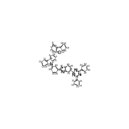 C1=c2cc(-c3ccc4c(c3)c3ccccc3n4-c3cccc(-c4nc5cc(-c6nc(-c7ccccc7)nc(-c7ccccc7)n6)ccc5s4)c3)c3oc4ccccc4c3c2=1